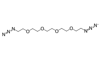 [N-]=[N+]=NCCOCCOCCOCCOCCN=[N+]=[N-]